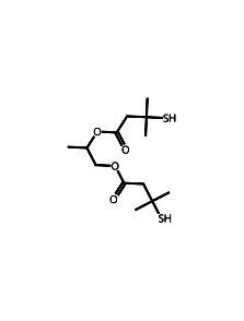 CC(COC(=O)CC(C)(C)S)OC(=O)CC(C)(C)S